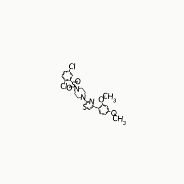 COc1ccc(-c2csc(N3CCN(S(=O)(=O)c4cc(Cl)ccc4Cl)CC3)n2)c(OC)c1